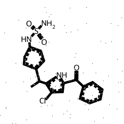 CC(c1ccc(NS(N)(=O)=O)cc1)c1[nH]c(C(=O)c2ccccc2)cc1Cl